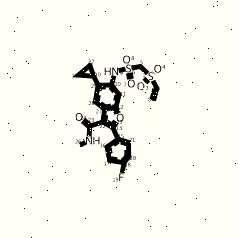 C=CS(=O)(=O)CS(=O)(=O)Nc1cc2oc(-c3ccc(F)cc3)c(C(=O)NC)c2cc1C1CC1